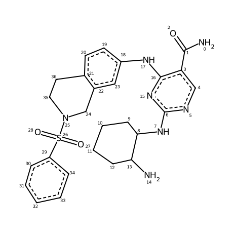 NC(=O)c1cnc(NC2CCCCC2N)nc1Nc1ccc2c(c1)CN(S(=O)(=O)c1ccccc1)CC2